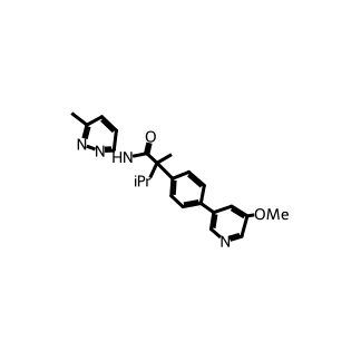 COc1cncc(-c2ccc(C(C)(C(=O)Nc3ccc(C)nn3)C(C)C)cc2)c1